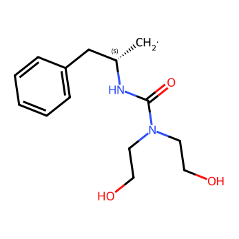 [CH2][C@@H](Cc1ccccc1)NC(=O)N(CCO)CCO